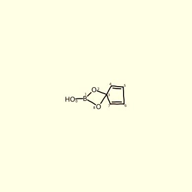 OB1OC2(C=CC=C2)O1